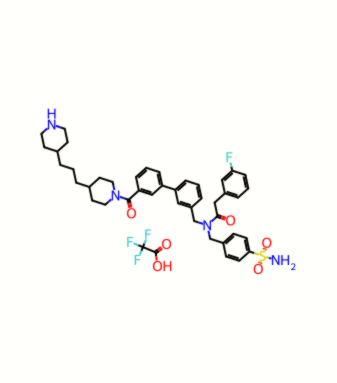 NS(=O)(=O)c1ccc(CN(Cc2cccc(-c3cccc(C(=O)N4CCC(CCCC5CCNCC5)CC4)c3)c2)C(=O)Cc2cccc(F)c2)cc1.O=C(O)C(F)(F)F